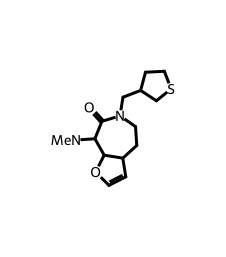 CNC1C(=O)N(CC2CCSC2)CCC2C=COC21